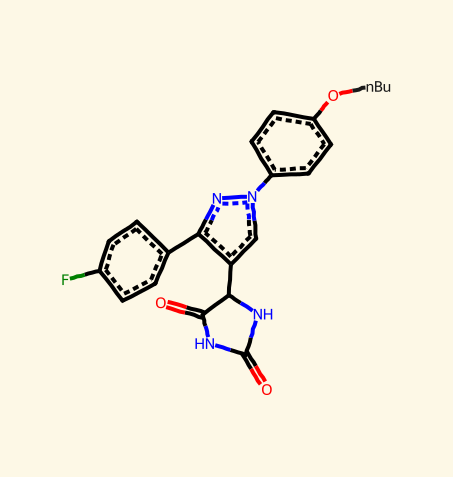 CCCCOc1ccc(-n2cc(C3NC(=O)NC3=O)c(-c3ccc(F)cc3)n2)cc1